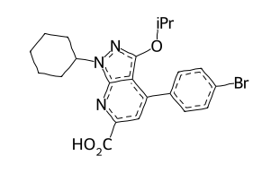 CC(C)Oc1nn(C2CCCCC2)c2nc(C(=O)O)cc(-c3ccc(Br)cc3)c12